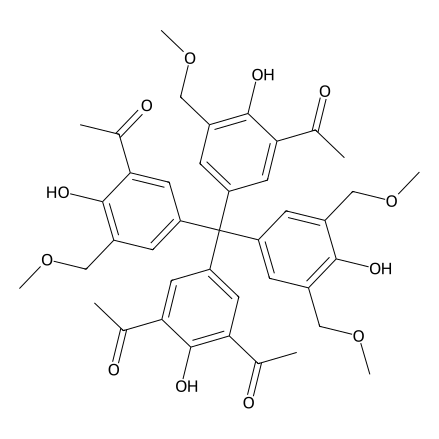 COCc1cc(C(c2cc(COC)c(O)c(C(C)=O)c2)(c2cc(COC)c(O)c(C(C)=O)c2)c2cc(C(C)=O)c(O)c(C(C)=O)c2)cc(COC)c1O